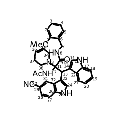 COc1ccccc1CNC(=O)C(NC(C)=O)(C(c1c[nH]c2ccccc12)c1c[nH]c2ccc(C#N)cc12)N1CC=CCC1